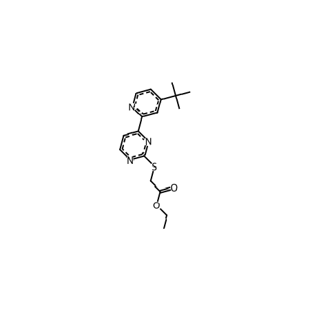 CCOC(=O)CSc1nccc(-c2cc(C(C)(C)C)ccn2)n1